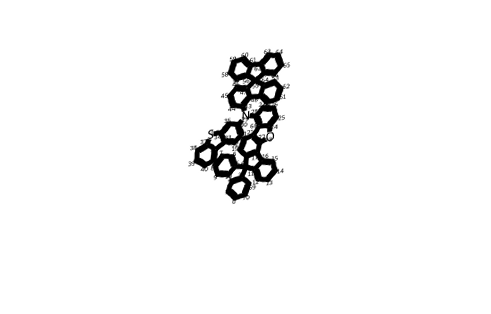 c1ccc(C2(c3ccccc3)c3ccccc3-c3c2ccc2c3oc3cccc(N(c4ccc5c(c4)sc4ccccc45)c4cccc5c4-c4ccccc4C54c5ccccc5-c5ccccc54)c32)cc1